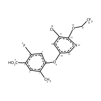 Cc1cc(C(=O)O)c(F)cc1Oc1cnc(OCC(F)(F)F)c(Cl)c1